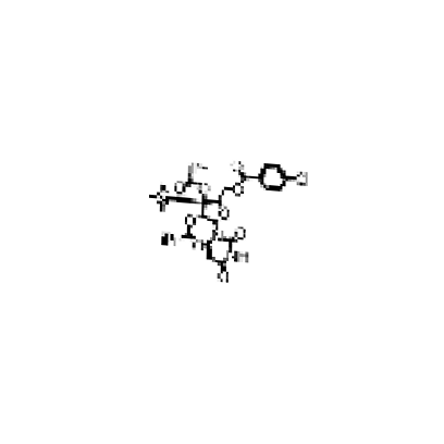 CC(C)C(=O)O[C@H]1[C@H](n2ccc(=O)[nH]c2=O)O[C@H](COC(=O)c2ccc(Cl)cc2)[C@@]1(C#C[Si](C)(C)C)OC(=O)C(C)C